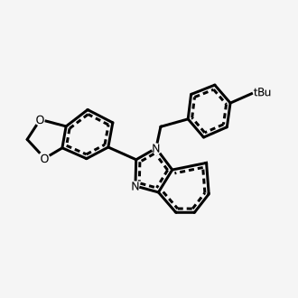 CC(C)(C)c1ccc(Cn2c(-c3ccc4c(c3)OCO4)nc3ccccc32)cc1